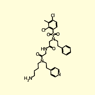 Cc1c(Cl)ccc(S(=O)(=O)N(CCc2ccccc2)CC(=O)NCC(=O)N(CCCCN)CCc2ccncc2)c1Cl